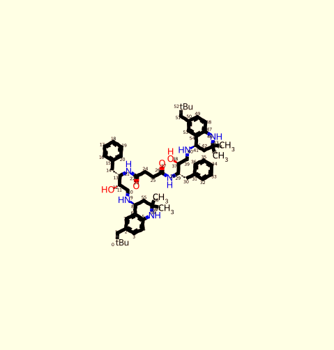 CC(C)(C)Cc1ccc2c(c1)[C@@H](NC[C@H](O)[C@H](Cc1ccccc1)NC(=O)CCC(=O)N[C@@H](Cc1ccccc1)[C@@H](O)CN[C@@H]1CC(C)(C)Nc3ccc(CC(C)(C)C)cc31)CC(C)(C)N2